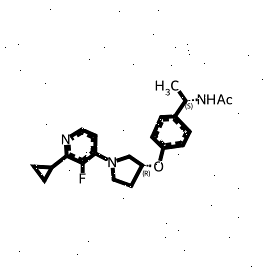 CC(=O)N[C@@H](C)c1ccc(O[C@@H]2CCN(c3ccnc(C4CC4)c3F)C2)cc1